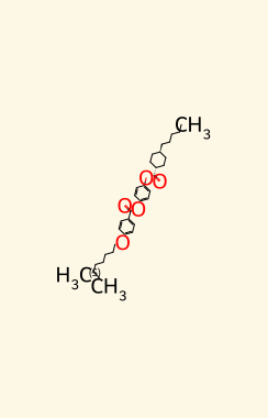 CCCCC[C@H]1CC[C@H](C(=O)Oc2ccc(OC(=O)c3ccc(OCCCCC[C@@H](C)CC)cc3)cc2)CC1